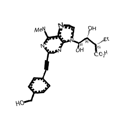 CC[C@H](C(=O)O)[C@@H](O)[C@@H](O)n1cnc2c(NC)nc(C#Cc3ccc(CO)cc3)nc21